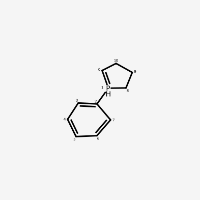 C1=[PH](c2ccccc2)CCC1